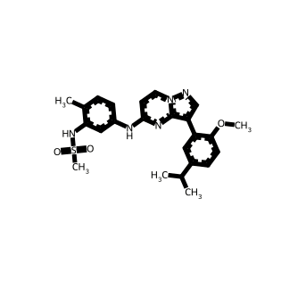 COc1ccc(C(C)C)cc1-c1cnn2ccc(Nc3ccc(C)c(NS(C)(=O)=O)c3)nc12